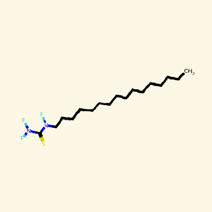 CCCCCCCCCCCCCCCCN(F)C(=S)N(F)F